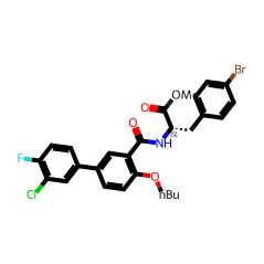 CCCCOc1ccc(-c2ccc(F)c(Cl)c2)cc1C(=O)N[C@@H](Cc1ccc(Br)cc1)C(=O)OC